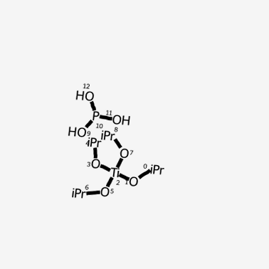 CC(C)[O][Ti]([O]C(C)C)([O]C(C)C)[O]C(C)C.OP(O)O